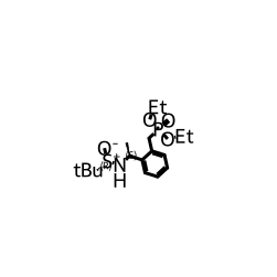 CCOP(=O)(Cc1ccccc1[C@H](C)N[S@@+]([O-])C(C)(C)C)OCC